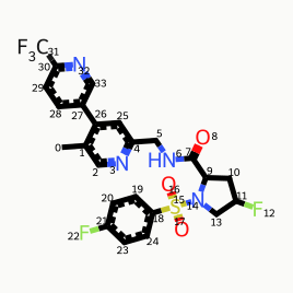 Cc1cnc(CNC(=O)C2CC(F)CN2S(=O)(=O)c2ccc(F)cc2)cc1-c1ccc(C(F)(F)F)nc1